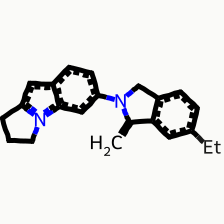 C=C1c2cc(CC)ccc2CN1c1ccc2cc3n(c2c1)CCC3